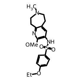 CCOc1ccc(S(=O)(=O)Nc2cc3c(nc2OC)CCN(C)CC3)cc1